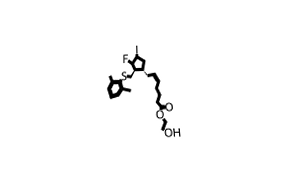 Cc1cccc(C)c1SC[C@H]1C(F)C(I)C[C@@H]1C/C=C\CCCC(=O)OCCO